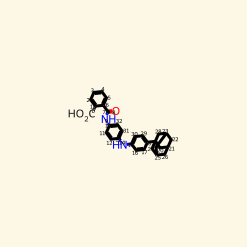 O=C(O)c1ccccc1C(=O)Nc1ccc(Nc2ccc(C34CC5CC(CC(C5)C3)C4)cc2)cc1